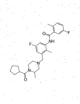 Cc1ccc(F)cc1C(=O)Nc1cc(F)cc(CN2CCN(C(=O)C3CCCC3)C(C)C2)c1C